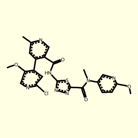 COc1ccc(N(C)C(=O)c2nnc(NC(=O)c3cnc(C)cc3-c3cc(Cl)ncc3OC)s2)cn1